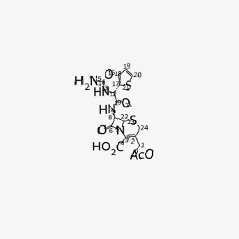 CC(=O)OCC1=C(C(=O)O)N2C(=O)[C@@H](NC(=O)C(NC(N)=O)c3cccs3)C2SC1